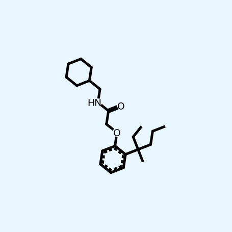 CCCC(C)(CC)c1ccccc1OCC(=O)NCC1CCCCC1